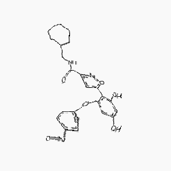 O=Nc1ccc(Oc2cc(O)cc(O)c2-c2cc(C(=O)NCC3CCCCC3)no2)cc1